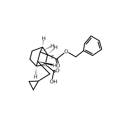 O=C(OCc1ccccc1)[C@@H]1[C@@H]2CC[C@@H]([C@@H](CC3CC3)[C@@H]2F)N1C(=O)O